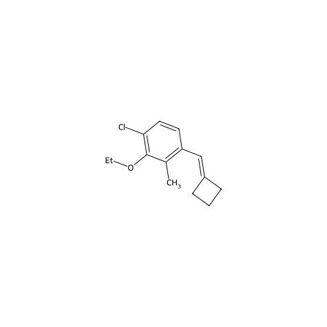 CCOc1c(Cl)ccc(C=C2CCC2)c1C